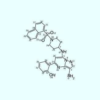 Bc1cnn2c(NC3CCN(S(=O)(=O)c4cccc5ccccc45)CC3)cc(-c3ccccc3O)nc12